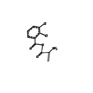 C=C(N)C(=O)OC(=O)c1cccc(Cl)c1Cl